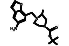 CC1CN(C(=O)OC(C)(C)C)CCN1Cc1cc(N)cc2ccoc12